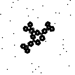 c1ccc(-c2nc(-c3ccc(N(c4ccccc4)c4ccc(-n5c6ccccc6c6ccccc65)cc4)cc3)c(-c3ccc(N(c4ccccc4)c4ccc(-n5c6ccccc6c6ccccc65)cc4)cc3)nc2-c2ccccc2)cc1